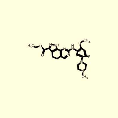 CCOC(=O)c1n[nH]c2c1CCc1cnc(Nc3cc(N4CCN(C)CC4)c(F)cc3OC)nc1-2